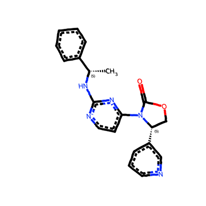 C[C@H](Nc1nccc(N2C(=O)OC[C@@H]2c2cccnc2)n1)c1ccccc1